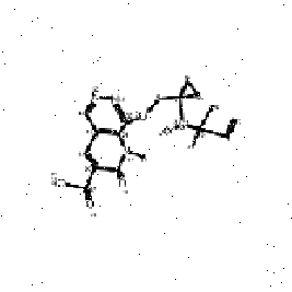 C=CC(C)(C)[S+]([O-])C1(COc2nncc3cc(C(=O)O)c(=O)n(C)c23)CC1